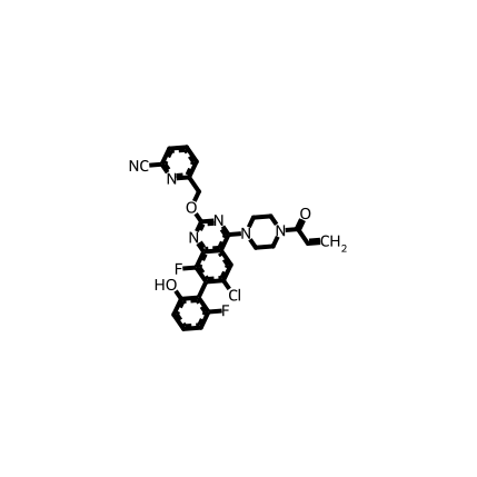 C=CC(=O)N1CCN(c2nc(OCc3cccc(C#N)n3)nc3c(F)c(-c4c(O)cccc4F)c(Cl)cc23)CC1